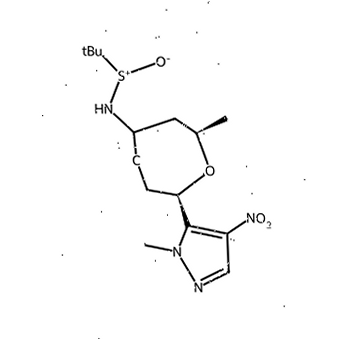 C[C@@H]1CC(N[S+]([O-])C(C)(C)C)CC[C@H](c2c([N+](=O)[O-])cnn2C)O1